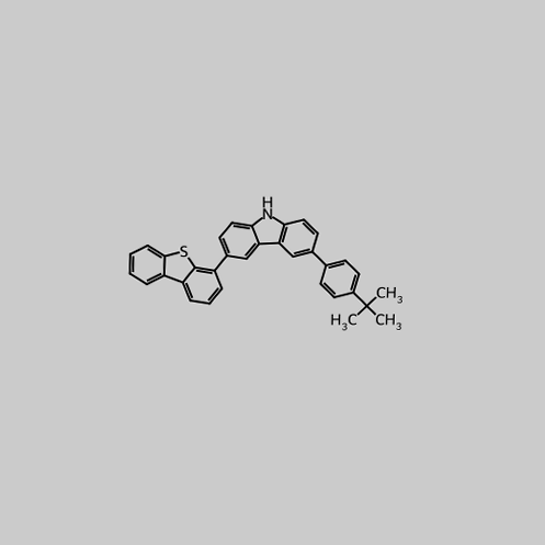 CC(C)(C)c1ccc(-c2ccc3[nH]c4ccc(-c5cccc6c5sc5ccccc56)cc4c3c2)cc1